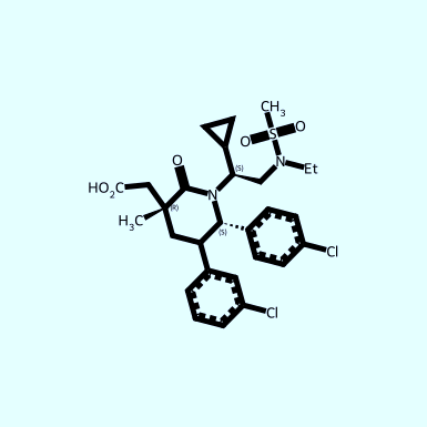 CCN(C[C@H](C1CC1)N1C(=O)[C@@](C)(CC(=O)O)CC(c2cccc(Cl)c2)[C@H]1c1ccc(Cl)cc1)S(C)(=O)=O